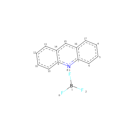 FB(F)F.c1ccc2nc3ccccc3cc2c1